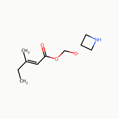 C1CNC1.CCC(C)=CC(=O)OC[O]